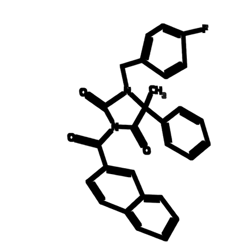 CC1(c2ccccc2)C(=O)N(C(=O)c2ccc3ccccc3c2)C(=O)N1Cc1ccc(F)cc1